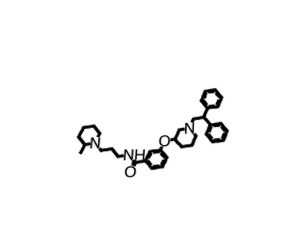 CC1CCCCN1CCCNC(=O)c1cccc(OC2CCCN(CC(c3ccccc3)c3ccccc3)C2)c1